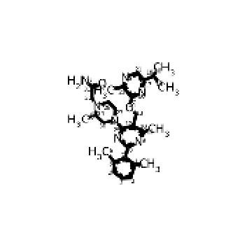 Cc1cccc(C)c1-c1nc(C)c(COc2nc(C(C)C)cnc2C)c(N2CCN(CC(N)=O)[C@H](C)C2)n1